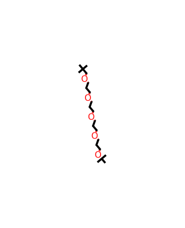 CC(C)(C)COCCCOCCCOCCCOCCCOC(C)(C)C